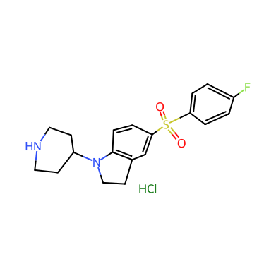 Cl.O=S(=O)(c1ccc(F)cc1)c1ccc2c(c1)CCN2C1CCNCC1